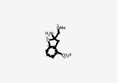 COCC1(N)Cc2c(cccc2C(=O)O)O1